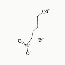 O=[N+]([O-])CCC[CH2][Cd+].[Br-]